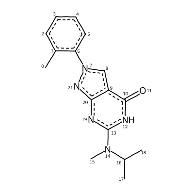 Cc1ccccc1-n1cc2c(=O)[nH]c(N(C)C(C)C)nc2n1